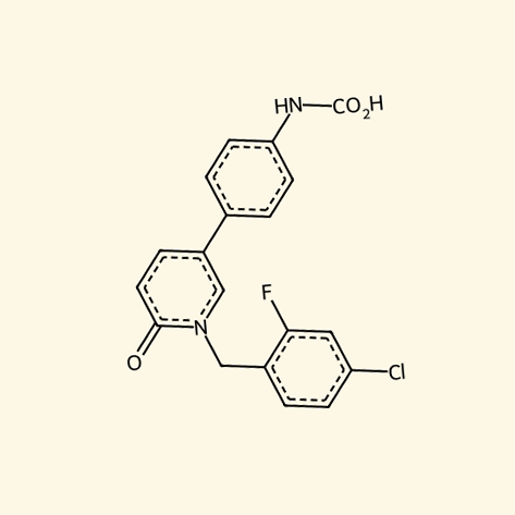 O=C(O)Nc1ccc(-c2ccc(=O)n(Cc3ccc(Cl)cc3F)c2)cc1